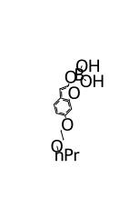 CCCOCCOc1ccc2cc(OB(O)O)oc2c1